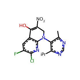 Cc1ncnc(C(C)C)c1N1CC([N+](=O)[O-])=C(O)c2cc(F)c(Cl)nc21